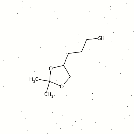 CC1(C)OCC(CCCS)O1